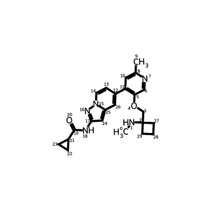 CNC1(COc2cnc(C)cc2-c2ccn3nc(NC(=O)C4CC4)cc3c2)CCC1